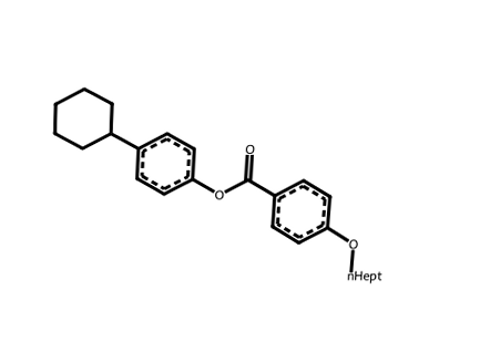 CCCCCCCOc1ccc(C(=O)Oc2ccc(C3CCCCC3)cc2)cc1